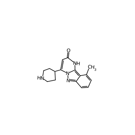 Cc1cccc2nn3c(C4CCNCC4)cc(=O)[nH]c3c12